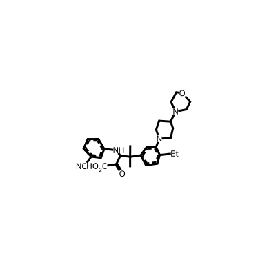 CCc1ccc(C(C)(C)C(Nc2cccc(C#N)c2)C(=O)C(=O)O)cc1N1CCC(N2CCOCC2)CC1